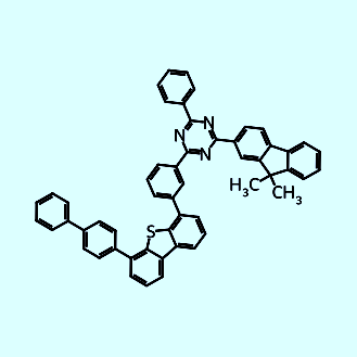 CC1(C)c2ccccc2-c2ccc(-c3nc(-c4ccccc4)nc(-c4cccc(-c5cccc6c5sc5c(-c7ccc(-c8ccccc8)cc7)cccc56)c4)n3)cc21